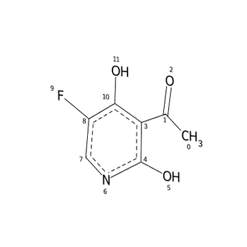 CC(=O)c1c(O)ncc(F)c1O